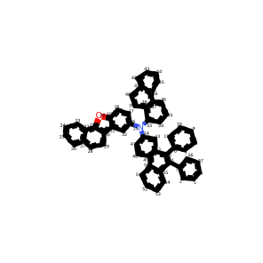 c1ccc(-c2c(-c3ccccc3)c3cc(N(c4ccc5oc6c7ccccc7ccc6c5c4)c4cccc5c4ccc4ccccc45)ccc3c3ccccc23)cc1